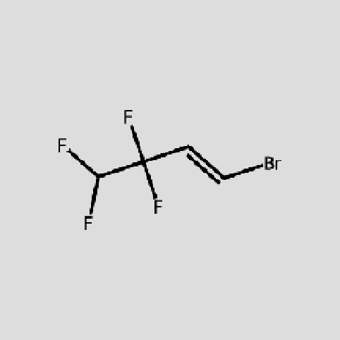 FC(F)C(F)(F)/C=C/Br